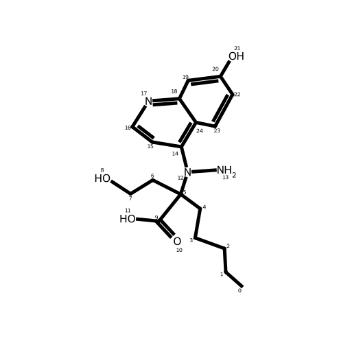 CCCCCC(CCO)(C(=O)O)N(N)c1ccnc2cc(O)ccc12